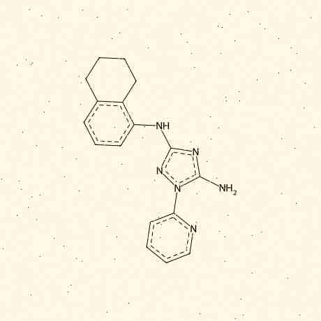 Nc1nc(Nc2cccc3c2CCCC3)nn1-c1ccccn1